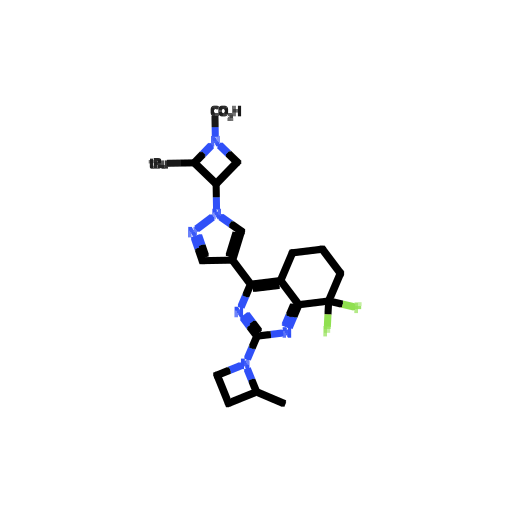 CC1CCN1c1nc(-c2cnn(C3CN(C(=O)O)C3C(C)(C)C)c2)c2c(n1)C(F)(F)CCC2